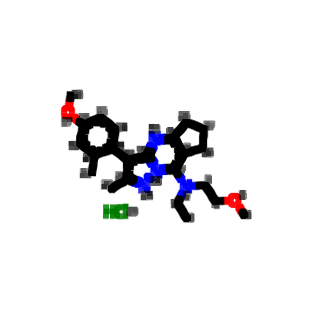 CCN(CCOC)c1c2c(nc3c(-c4ccc(OC)cc4C)c(C)nn13)CCC2.Cl